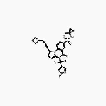 [2H]C([2H])(c1cnn(C)c1)N1C(=O)c2cc(S(=O)(=O)NC3(C)CC3)ccc2N2C1=NCC2C#CCN1CCC1